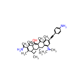 C=C(N)C1=C(C)C2[C@@H](C)C[C@]23C[C@]2(C)Cc4c(N(C)C)cc(C#Cc5ccc(N)cc5)c(C)c4C(=C)C2=C(O)[C@]3(C)C1=C